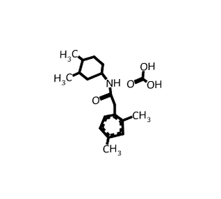 Cc1ccc(CC(=O)NC2CCC(C)C(C)C2)c(C)c1.O=C(O)O